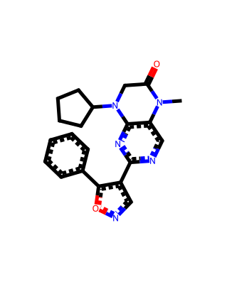 CN1C(=O)CN(C2CCCC2)c2nc(-c3cnoc3-c3ccccc3)ncc21